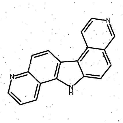 c1cnc2ccc3c([nH]c4ccc5cnccc5c43)c2c1